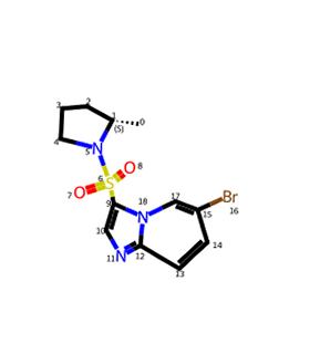 C[C@H]1CCCN1S(=O)(=O)c1cnc2ccc(Br)cn12